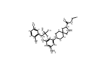 CCOC(=O)[C@@H]1CC2(CCN(c3cc(O[C@H](c4cc(Cl)ccc4Br)C(F)(F)F)nc(N)n3)CC2)CN1